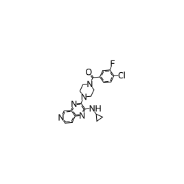 O=C(c1ccc(Cl)c(F)c1)N1CCN(c2nc3cnccc3nc2NC2CC2)CC1